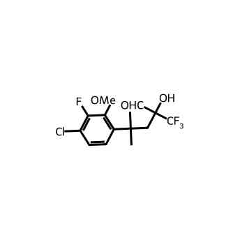 COc1c(C(C)(C)CC(O)(C=O)C(F)(F)F)ccc(Cl)c1F